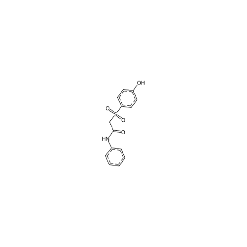 O=C(CS(=O)(=O)c1ccc(O)cc1)Nc1ccccc1